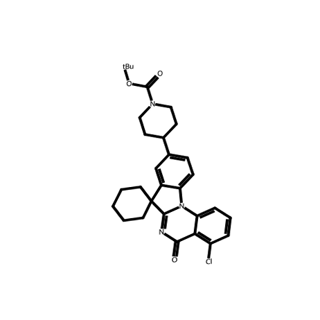 CC(C)(C)OC(=O)N1CCC(c2ccc3c(c2)C2(CCCCC2)c2nc(=O)c4c(Cl)cccc4n2-3)CC1